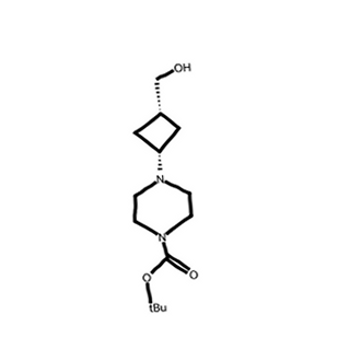 CC(C)(C)OC(=O)N1CCN([C@H]2C[C@@H](CO)C2)CC1